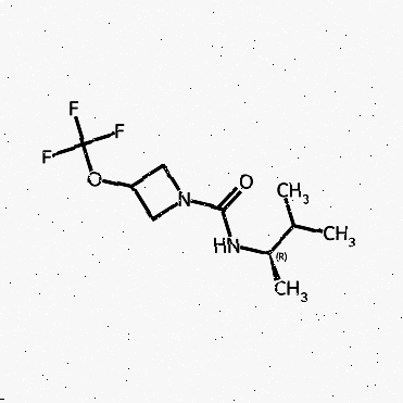 CC(C)[C@@H](C)NC(=O)N1CC(OC(F)(F)F)C1